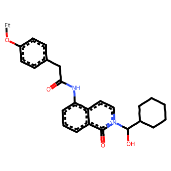 CCOc1ccc(CC(=O)Nc2cccc3c(=O)n(C(O)C4CCCCC4)ccc23)cc1